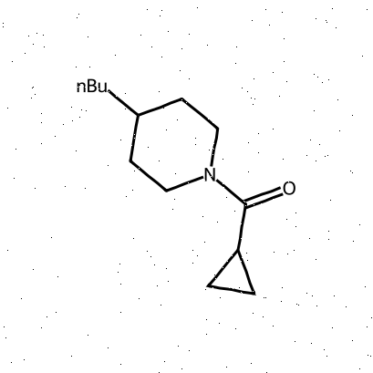 CCCCC1CCN(C(=O)C2CC2)CC1